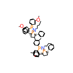 CCCCN(P(c1cccc(OC)c1)c1cccc(OC)c1)P1[C@H](c2ccccc2)C(c2ccc(P(c3cccc(C)c3)N(CCCC)P3[C@H](c4ccccc4)CC[C@H]3c3ccccc3)cc2C)C[C@H]1c1ccccc1